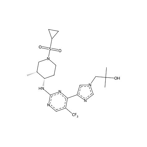 C[C@@H]1CN(S(=O)(=O)C2CC2)CC[C@@H]1Nc1ncc(C(F)(F)F)c(-c2cn(CC(C)(C)O)cn2)n1